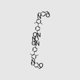 Cc1cc(-n2ccc3cc4ccoc4cc32)cc(C)c1-c1ccc(-c2nc3cc4nc(-c5ccc(-c6c(C)cc(-n7ccc8cc9ccoc9cc87)cc6C)cc5)oc4nc3o2)cc1